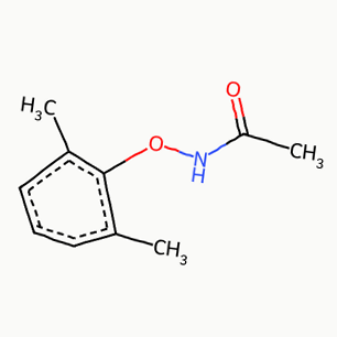 CC(=O)NOc1c(C)cccc1C